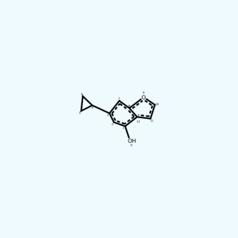 Oc1cc(C2CC2)cc2occc12